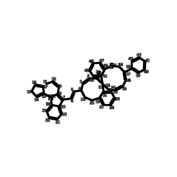 C=C1/C=C\C(/C=C/c2c(/C=C\C)n(C3=CCC=C3)c3ccccc23)CCc2ccccc2C12C/C=C\C=C(\c1ccccc1)CSc1ccccc12